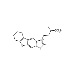 Cc1sc2cc3sc4c(c3cc2[n+]1CCC(C)S(=O)(=O)O)CCCC4